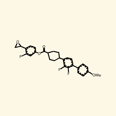 COc1ccc(-c2ccc(C3CCC(C(=O)Oc4ccc(C5CO5)c(F)c4)CC3)c(F)c2F)cc1